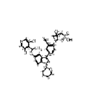 C[C@@H](Oc1ccc2c(c1)c(-c1cnc(N3CC(C)(CS(=O)(=O)O)C3)c(C#N)c1)nn2C1CCCCO1)c1c(Cl)cncc1Cl